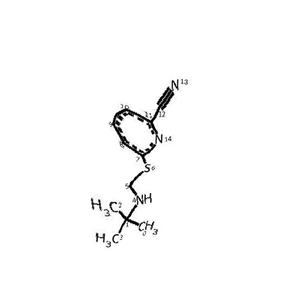 CC(C)(C)NCSc1cccc(C#N)n1